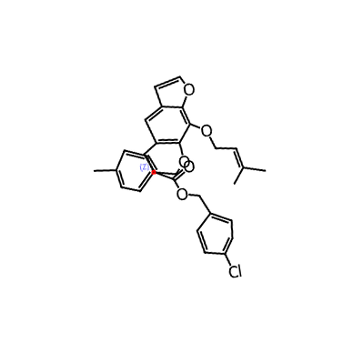 CC(C)=CCOc1c(OCc2ccc(C)cc2)c(/C=C\C(=O)OCc2ccc(Cl)cc2)cc2ccoc12